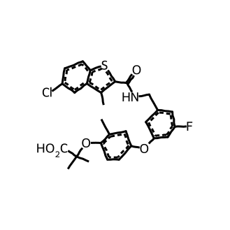 Cc1cc(Oc2cc(F)cc(CNC(=O)c3sc4ccc(Cl)cc4c3C)c2)ccc1OC(C)(C)C(=O)O